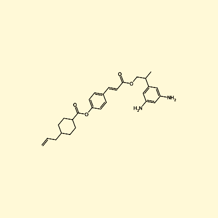 C=CCC1CCC(C(=O)Oc2ccc(/C=C/C(=O)OCC(C)c3cc(N)cc(N)c3)cc2)CC1